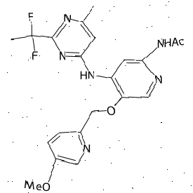 COc1ccc(COc2cnc(NC(C)=O)cc2Nc2cc(C)nc(C(C)(F)F)n2)nc1